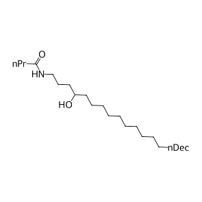 CCCCCCCCCCCCCCCCCCCCC(O)CCCNC(=O)CCC